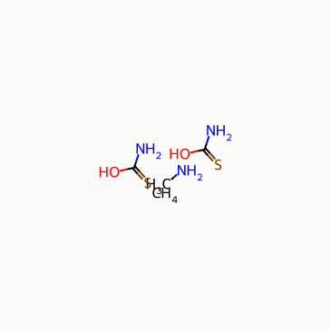 C.CN.NC(O)=S.NC(O)=S